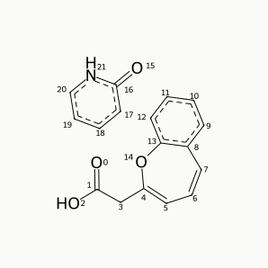 O=C(O)CC1=CC=Cc2ccccc2O1.O=c1cccc[nH]1